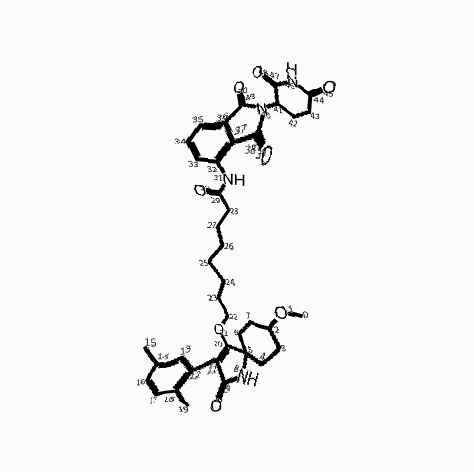 COC1CCC2(CC1)NC(=O)C(c1cc(C)ccc1C)=C2OCCCCCCCC(=O)Nc1cccc2c1C(=O)N(C1CCC(=O)NC1=O)C2=O